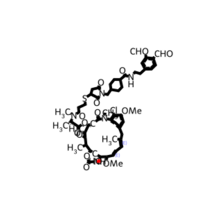 COc1cc2cc(c1Cl)N(C)C(=O)C[C@H](OC(=O)[C@H](C)N(C)C(=O)CCSC1CC(=O)N(CC3CCC(C(=O)NCCc4ccc(C=O)c(C=O)c4)CC3)C1=O)C1(C)OC1C(C)C1CC(O)(NC(=O)O1)C(OC)/C=C/C=C(\C)C2